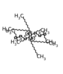 CCCCCCCCCCCCC(CCCCCCCCCC)CN1C(=O)C2=C(c3cc(CCCC)c(-c4ccc(-c5sccc5CCCC)s4)s3)N(CC(CCCCCCCCCC)CCCCCCCCCCCC)C(=O)C2=C1c1cc(CCCC)c(-c2ccc(-c3sccc3CCCC)s2)s1